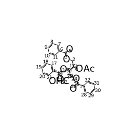 CC(=O)O[C@@H](COC(=O)c1ccccc1)[C@H](OC(=O)c1ccccc1)[C@@H](C=O)OC(=O)c1ccccc1